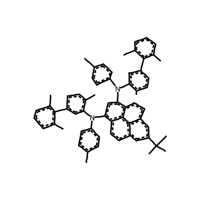 Cc1ccc(N(c2cc(-c3c(C)cccc3C)ccc2C)c2cc(N(c3ccc(C)cc3)c3cc(-c4c(C)cccc4C)ccc3C)c3ccc4cc(C(C)(C)C)cc5ccc2c3c54)cc1